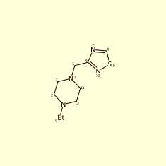 CCN1CCN(Cc2ncsn2)CC1